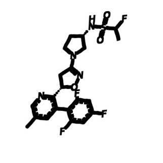 Cc1cnc([C@@H]2CC(N3CC[C@H](NS(=O)(=O)C(C)F)C3)=NO2)c(-c2c(F)cc(F)cc2F)c1